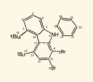 CC(C)(C)c1cccc2[nH]c3c(Br)c(Br)cc(C(C)(C)C)c3c12.c1ccccc1